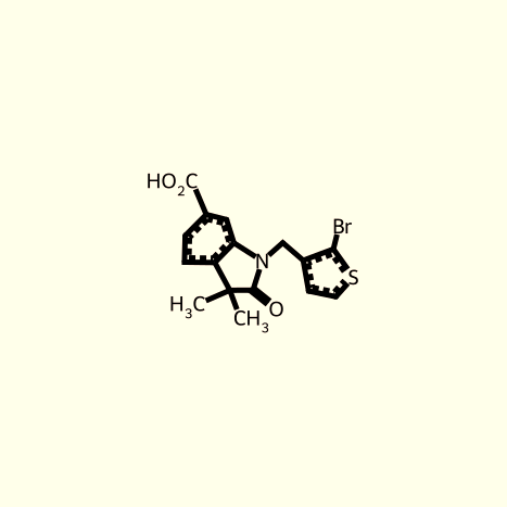 CC1(C)C(=O)N(Cc2ccsc2Br)c2cc(C(=O)O)ccc21